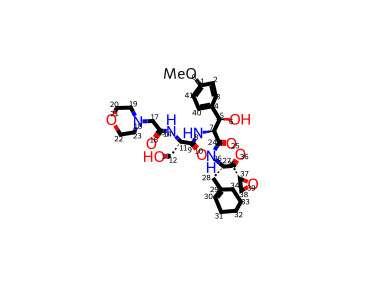 COc1ccc([C@@H](O)[C@H](NC(=O)[C@H](CO)NC(=O)CN2CCOCC2)C(=O)N[C@@H](CC2=CCCCC2)C(=O)[C@H]2CO2)cc1